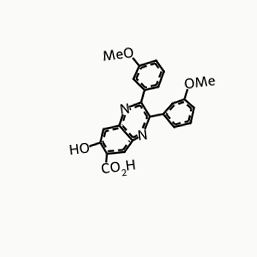 COc1cccc(-c2nc3cc(O)c(C(=O)O)cc3nc2-c2cccc(OC)c2)c1